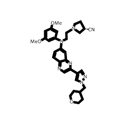 COc1cc(OC)cc(N(CCN2CC[C@H](C#N)C2)c2ccc3ncc(-c4cnn(CC5CCOCC5)c4)nc3c2)c1